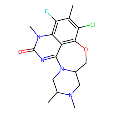 Cc1c(Cl)c2c3c(nc(=O)n(C)c3c1F)N1CC(C)N(C)CC1CO2